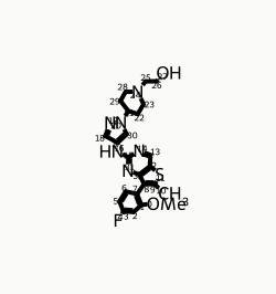 COc1cc(F)ccc1-c1c(C)sc2cnc(Nc3cnn(C4CCN(CCO)CC4)c3)nc12